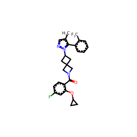 Cc1cnn(C2CC3(C2)CN(C(=O)c2ccc(F)cc2OC2CC2)C3)c1-c1ccccc1C(F)(F)F